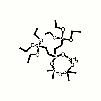 CCO[Si](CC[Si]1(CC[Si](OCC)(OCC)OCC)O[SiH2]O[Si](C)(C)O[Si](C)(C)O1)(OCC)OCC